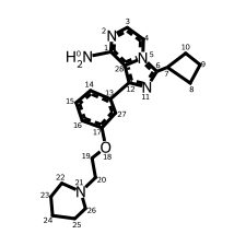 Nc1nccn2c(C3CCC3)nc(-c3cccc(OCCN4CCCCC4)c3)c12